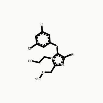 CCCCOCc1nc(C(C)C)c(Sc2cc(Cl)cc(Cl)c2)n1CCO